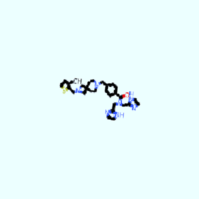 Cc1ccsc1CN1CC2(CCN(Cc3ccc(C(=O)N(Cc4ncc[nH]4)Cc4ncc[nH]4)cc3)CC2)C1